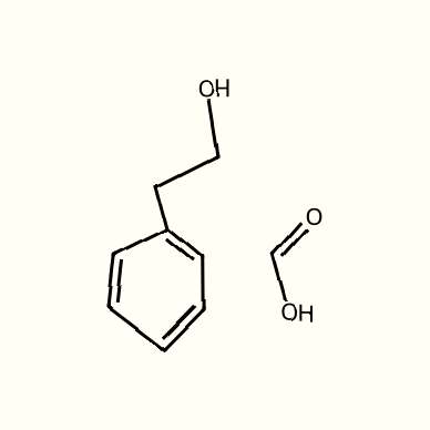 O=CO.OCCc1ccccc1